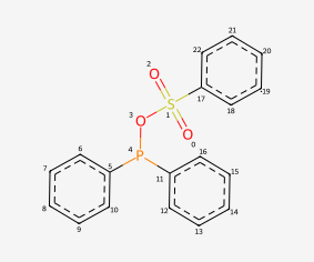 O=S(=O)(OP(c1ccccc1)c1ccccc1)c1c[c]ccc1